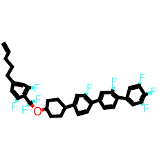 C=CCCCc1cc(F)c(C(F)(F)OC2CCC(c3ccc(-c4ccc(-c5cc(F)c(F)c(F)c5)c(F)c4)c(F)c3)CC2)c(F)c1